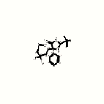 CC(C)(C)C1OC(=O)[C@](c2ccccc2)([C@H]2CCCC(F)(F)C2)O1